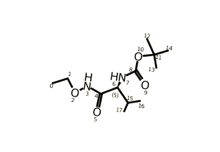 CCONC(=O)[C@@H](NC(=O)OC(C)(C)C)C(C)C